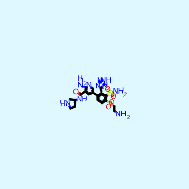 NCCS(=O)(=O)c1ccc(-c2cnc(N)c(C(=O)NC3CCNC3)c2)c(-c2nn[nH]n2)c1S(N)(=O)=O